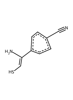 N#Cc1ccc(/C(N)=C/S)cc1